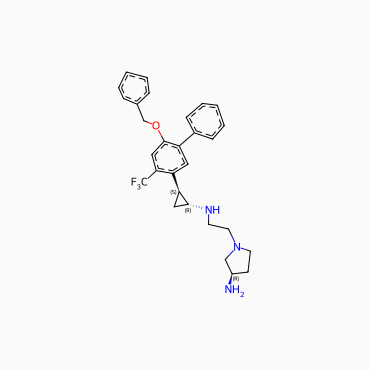 N[C@@H]1CCN(CCN[C@@H]2C[C@H]2c2cc(-c3ccccc3)c(OCc3ccccc3)cc2C(F)(F)F)C1